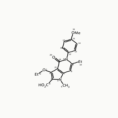 CCOc1c(C(=O)O)n(C)c2cc(CC)n(-c3ccc(OC)cc3)c(=O)c12